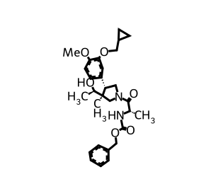 COc1ccc([C@@H]2CN(C(=O)[C@H](C)NC(=O)OCc3ccccc3)C[C@@]2(C)[C@@H](C)O)cc1OCC1CC1